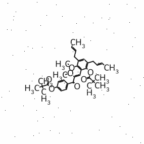 CC=CCc1cc(CC=CC)c(OC(=O)C(C)(C)C)c(C=C(OC)C(=O)c2ccc(OC(=O)C(C)(C)C)cc2)c1OC